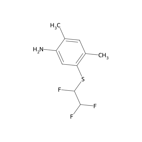 Cc1cc(C)c(SC(F)C(F)F)cc1N